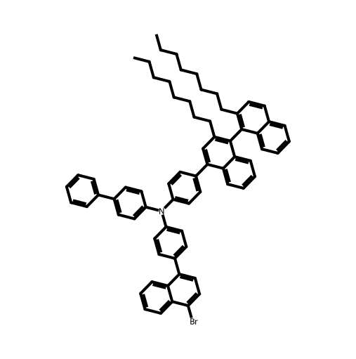 CCCCCCCCc1ccc2ccccc2c1-c1c(CCCCCCCC)cc(-c2ccc(N(c3ccc(-c4ccccc4)cc3)c3ccc(-c4ccc(Br)c5ccccc45)cc3)cc2)c2ccccc12